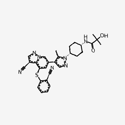 Cc1c(-c2cc(Sc3ccccc3C#N)c3c(C#N)cnn3c2)cnn1[C@H]1CC[C@@H](NC(=O)C(C)(C)O)CC1